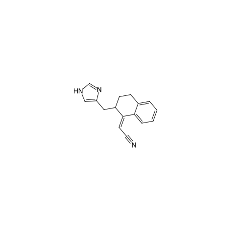 N#C/C=C1\c2ccccc2CCC1Cc1c[nH]cn1